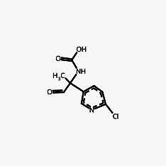 CC(C=O)(NC(=O)O)c1ccc(Cl)nc1